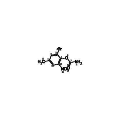 Cc1cc(Br)c(OC(N)=O)c([N+](=O)[O-])c1